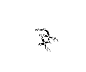 CCCCCCCC[Si](C)(C)OS(=O)(=O)C(F)(F)F